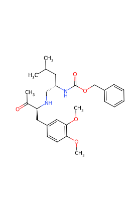 COc1ccc(C[C@H](NC[C@H](CC(C)C)NC(=O)OCc2ccccc2)C(C)=O)cc1OC